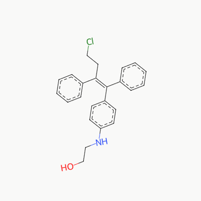 OCCNc1ccc(C(=C(CCCl)c2ccccc2)c2ccccc2)cc1